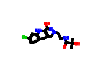 CC(C)(O)C(=O)NCCN1CC2=C(Nc3cc(Cl)ccc3C2)C(O)=N1